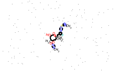 C/C(=C\c1cc(F)cc(N2CCN(Sc3cnn(C)c3)CC2)c1)[C@H]1OC(=O)C[C@H](O)CC[C@H](C)[C@@H](OC(=O)N2CCN(C)CC2)/C=C/[C@@H]1C